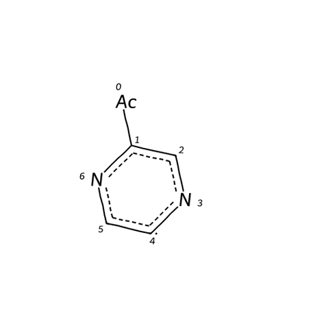 CC(=O)c1cn[c]cn1